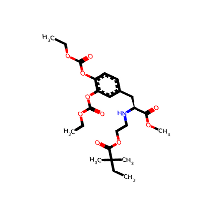 CCOC(=O)Oc1ccc(C[C@H](NCCOC(=O)C(C)(C)CC)C(=O)OC)cc1OC(=O)OCC